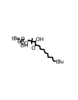 CC(C)(C)CCCCCCCCC(=O)C(O)C(C)(C)COP(=O)(O)OC(C)(C)C